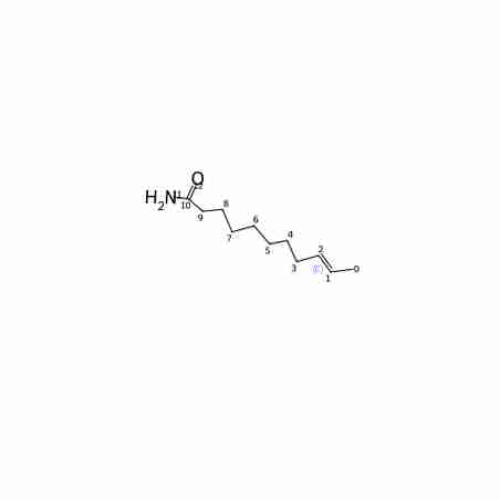 C/C=C/CCCCCCCC(N)=O